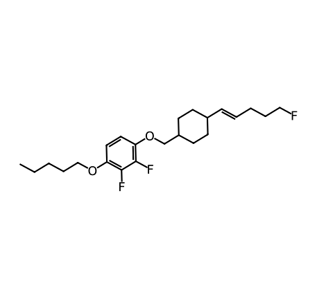 CCCCCOc1ccc(OCC2CCC(/C=C/CCCF)CC2)c(F)c1F